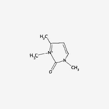 Cc1ccn(C)c(=O)[n+]1C